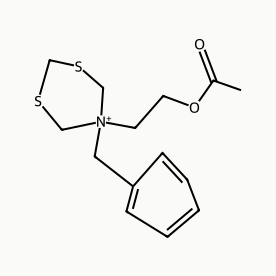 CC(=O)OCC[N+]1(Cc2ccccc2)CSCSC1